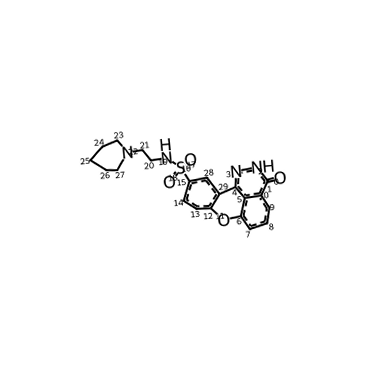 O=c1[nH]nc2c3c(cccc13)Oc1ccc(S(=O)(=O)NCCN3CCCCC3)cc1-2